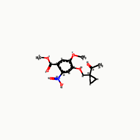 COC(=O)c1cc(OC)c(OCC2(C(C)=O)CC2)cc1[N+](=O)[O-]